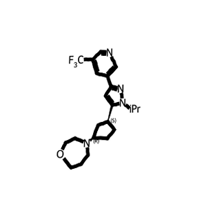 CC(C)n1nc(-c2cncc(C(F)(F)F)c2)cc1[C@H]1CC[C@@H](N2CCCOCC2)C1